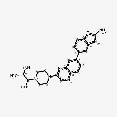 C[C@H](N)C(O)N1CCN(c2cnc3ccc(-c4ccc5oc(N)nc5c4)cc3n2)CC1